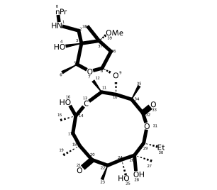 CCCNC[C@@]1(O)[C@H](C)O[C@@H](O[C@H]2[C@H](C)C[C@](C)(O)C[C@@H](C)C(=O)[C@H](C)[C@@H](O)[C@](C)(O)[C@@H](CC)OC(=O)[C@@H]2C)C[C@@]1(C)OC